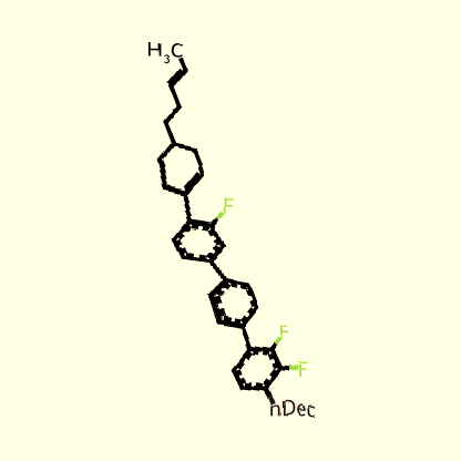 C/C=C/CCC1CC=C(c2ccc(-c3ccc(-c4ccc(CCCCCCCCCC)c(F)c4F)cc3)cc2F)CC1